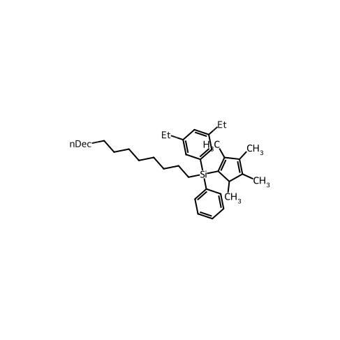 CCCCCCCCCCCCCCCCCC[Si](C1=C(C)C(C)=C(C)C1C)(c1ccccc1)c1cc(CC)cc(CC)c1